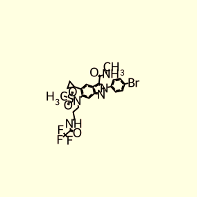 CNC(=O)c1c2cc(C3CC3)c(N(CCCNC(=O)C(F)(F)F)S(C)(=O)=O)cc2nn1-c1ccc(Br)cc1